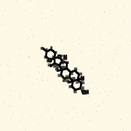 CC1CCC2(OC1)O[C@H]1CC3C4CC[C@@H]5C[C@H](O)CC[C@]5(C)C4CC[C@]3(C)C1C2C